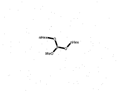 CCCCCCOB(OC)OCCCCCC